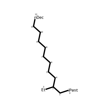 [CH2]CCC(C)CC(CC)C[CH]CCCCCCCCCCCCCCCC